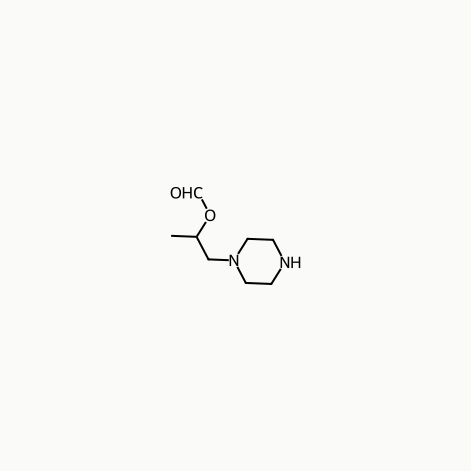 CC(CN1CCNCC1)OC=O